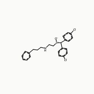 [O-][S+](CCNCCCc1ccccc1)C(c1ccc(Cl)cc1)c1ccc(Cl)cc1